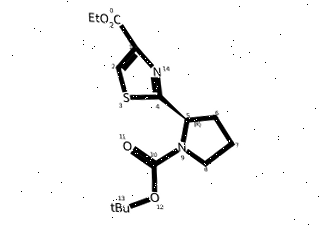 CCOC(=O)c1csc([C@H]2CCCN2C(=O)OC(C)(C)C)n1